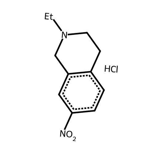 CCN1CCc2ccc([N+](=O)[O-])cc2C1.Cl